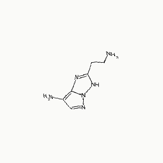 NCCc1nc2c(N)cnn2[nH]1